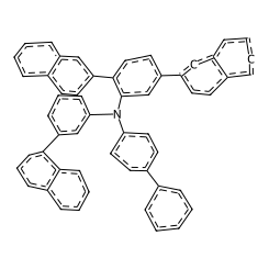 c1ccc(-c2ccc(N(c3cccc(-c4cccc5ccccc45)c3)c3cc(-c4ccc5ccccc5c4)ccc3-c3ccc4ccccc4c3)cc2)cc1